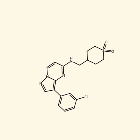 O=S1(=O)CCC(CNc2ccn3ncc(-c4cccc(Cl)c4)c3n2)CC1